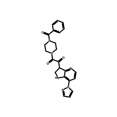 O=C(C(=O)N1CCN(C(=O)c2ccccc2)CC1)C1CNc2c(-n3cccn3)ccnc21